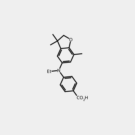 CCN(c1ccc(C(=O)O)cc1)c1cc(C)c2c(c1)C(C)(C)CO2